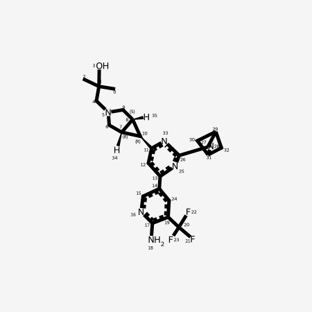 CC(C)(O)CN1C[C@@H]2[C@H](C1)[C@H]2c1cc(-c2cnc(N)c(C(F)(F)F)c2)nc(N2CC3CC2C3)n1